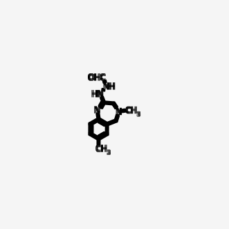 Cc1ccc2c(c1)CN(C)CC(NNC=O)=N2